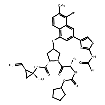 C=C[C@@H]1C[C@]1(NC(=O)[C@@H]1C[C@@H](Oc2cc(-c3csc(NC(=O)C(C)C)n3)cc3c(Br)c(OC)ccc23)CN1C(=O)[C@@H](NC(=O)OC1CCCC1)C(C)(C)C)C(=O)O